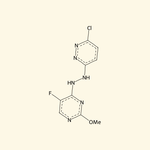 COc1ncc(F)c(NNc2ccc(Cl)nn2)n1